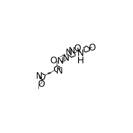 CCOc1cncc(C#Cc2cncc(C(=O)N3CCN(c4ccc(C(=O)Nc5ccc(OC)cc5)nn4)CC3)c2)c1